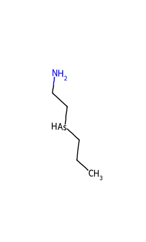 CCC[AsH]CCN